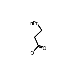 CCCCCC([O])=O